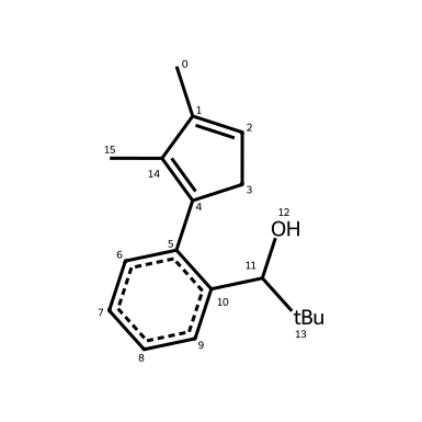 CC1=CCC(c2ccccc2C(O)C(C)(C)C)=C1C